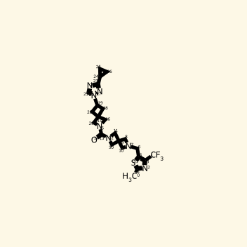 Cc1nc(C(F)(F)F)c(CN2CC3(C2)CN(C(=O)N2CC4(CC(n5cnc(C6CC6)n5)C4)C2)C3)s1